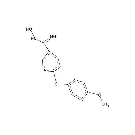 COc1ccc(Sc2ccc(C(=N)NO)cc2)cc1